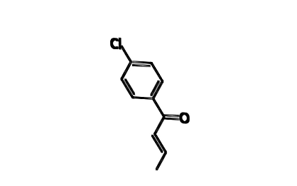 C/C=C/C(=O)c1ccc(Cl)cc1